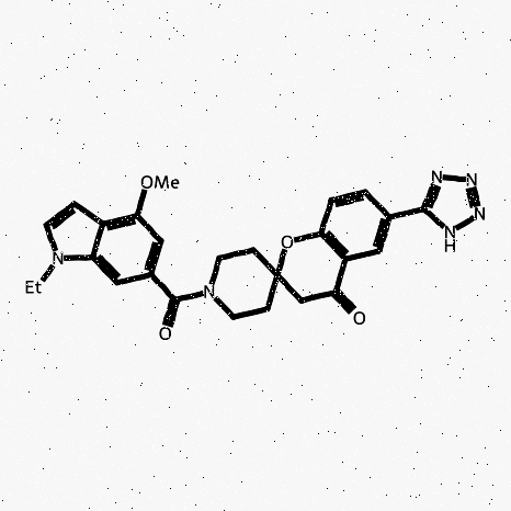 CCn1ccc2c(OC)cc(C(=O)N3CCC4(CC3)CC(=O)c3cc(-c5nnn[nH]5)ccc3O4)cc21